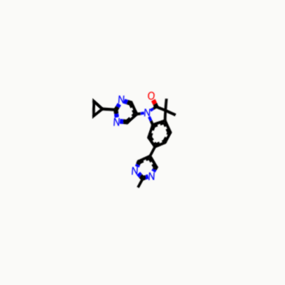 Cc1ncc(-c2ccc3c(c2)N(c2cnc(C4CC4)nc2)C(=O)C3(C)C)cn1